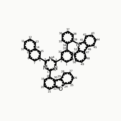 c1cc(-c2nc(-c3ccc4ccccc4c3)nc(-c3cccc4oc5ccccc5c34)n2)cc(-c2ccccc2-n2c3ccccc3c3ccccc32)c1